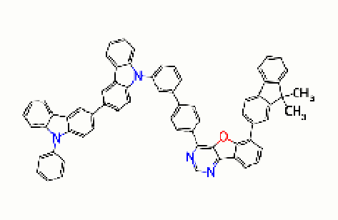 CC1(C)c2ccccc2-c2ccc(-c3cccc4c3oc3c(-c5ccc(-c6cccc(-n7c8ccccc8c8cc(-c9ccc%10c(c9)c9ccccc9n%10-c9ccccc9)ccc87)c6)cc5)ncnc34)cc21